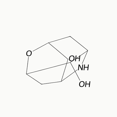 OC1C2CC3OC1CC(N2)C3O